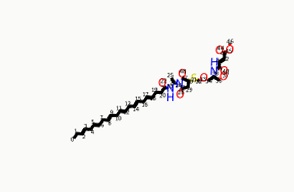 CCC=CCC=CCC=CCC=CCC=CCC=CCCC(=O)NC(C)N1C(=O)CC(SCOCC(C=O)NC(=O)C=CC(=O)OC)C1=O